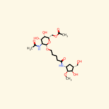 CO[C@@H]1[C@H](O)[C@@H](CO)C[C@H]1NC(=O)CCCCO[C@H]1O[C@@H](COC(C)=O)[C@@H](O)[C@@H](O)[C@@H]1NC(C)=O